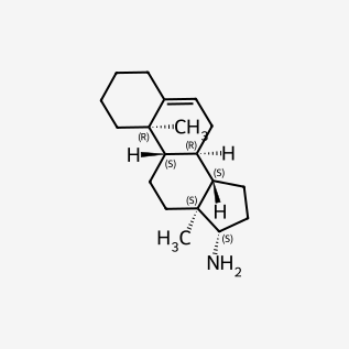 C[C@]12CC[C@H]3[C@@H](CC=C4CCCC[C@@]43C)[C@@H]1CC[C@@H]2N